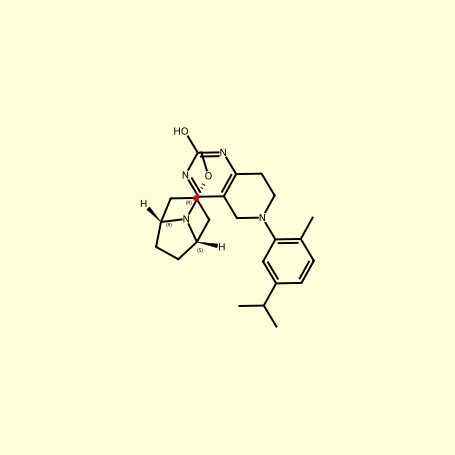 CO[C@H]1C[C@H]2CC[C@@H](C1)N2c1nc(O)nc2c1CN(c1cc(C(C)C)ccc1C)CC2